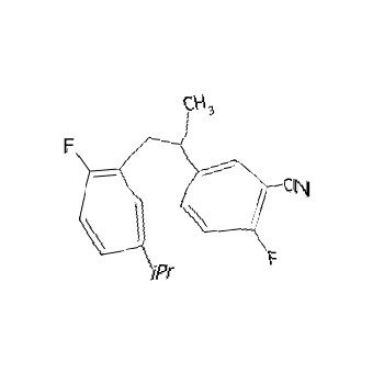 CC(C)c1ccc(F)c(CC(C)c2ccc(F)c(C#N)c2)c1